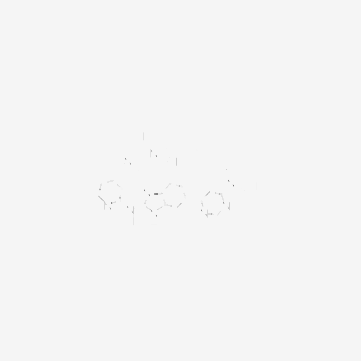 CN(c1cc(-c2ccc3nc(Nc4cc(CN5CCN(C(C)(C)C)CC5)ccn4)[nH]c3c2)ncn1)C1CC1